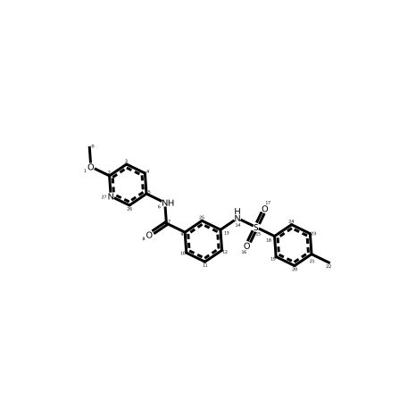 COc1ccc(NC(=O)c2cccc(NS(=O)(=O)c3ccc(C)cc3)c2)cn1